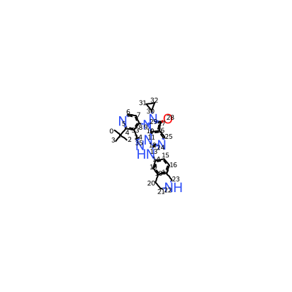 CC(C)(C)c1nccc(-n2c3nc(Nc4ccc5c(c4)CCNC5)ncc3c(=O)n2C2CC2)c1C#N